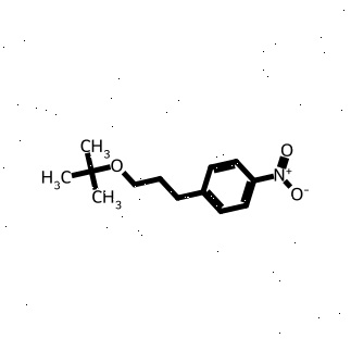 CC(C)(C)OCCCc1ccc([N+](=O)[O-])cc1